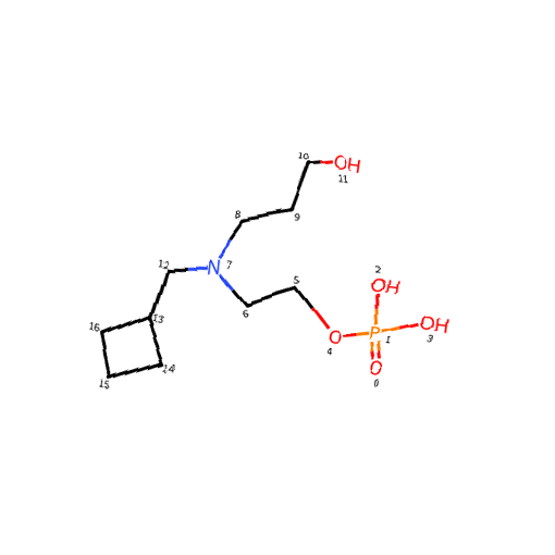 O=P(O)(O)OCCN(CCCO)CC1CCC1